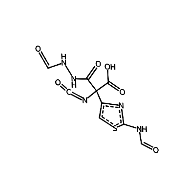 O=C=NC(C(=O)O)(C(=O)NNC=O)c1csc(NC=O)n1